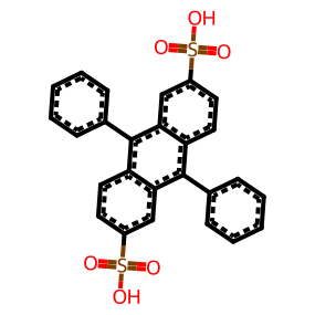 O=S(=O)(O)c1ccc2c(-c3ccccc3)c3cc(S(=O)(=O)O)ccc3c(-c3ccccc3)c2c1